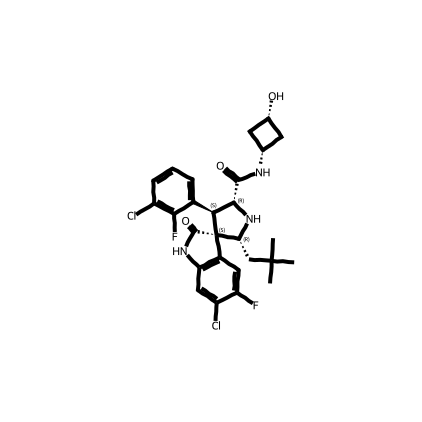 CC(C)(C)C[C@H]1N[C@@H](C(=O)N[C@H]2C[C@@H](O)C2)[C@H](c2cccc(Cl)c2F)[C@@]12C(=O)Nc1cc(Cl)c(F)cc12